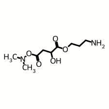 CN(C)OC(=O)CC(O)C(=O)OCCCN